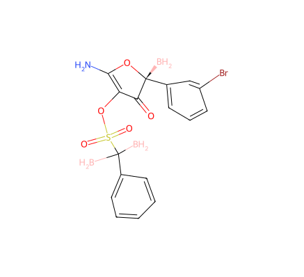 BC(B)(c1ccccc1)S(=O)(=O)OC1=C(N)O[C@](B)(c2cccc(Br)c2)C1=O